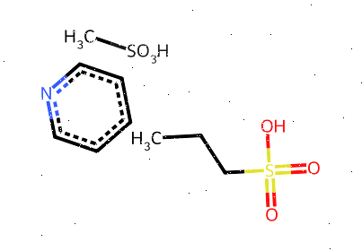 CCCS(=O)(=O)O.CS(=O)(=O)O.c1ccncc1